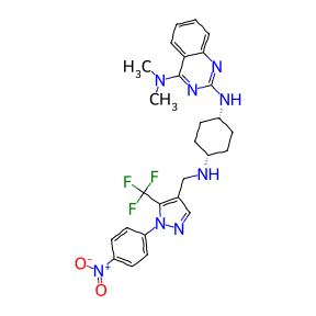 CN(C)c1nc(N[C@H]2CC[C@@H](NCc3cnn(-c4ccc([N+](=O)[O-])cc4)c3C(F)(F)F)CC2)nc2ccccc12